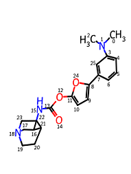 CN(C)c1cccc(-c2ccc(OC(=O)NC3CN4CCC3CC4)o2)c1